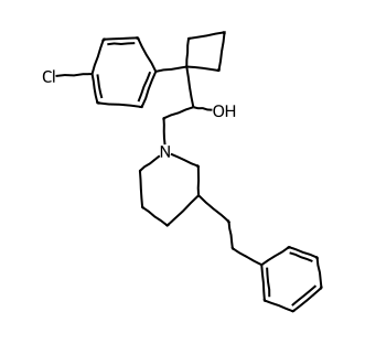 OC(CN1CCCC(CCc2ccccc2)C1)C1(c2ccc(Cl)cc2)CCC1